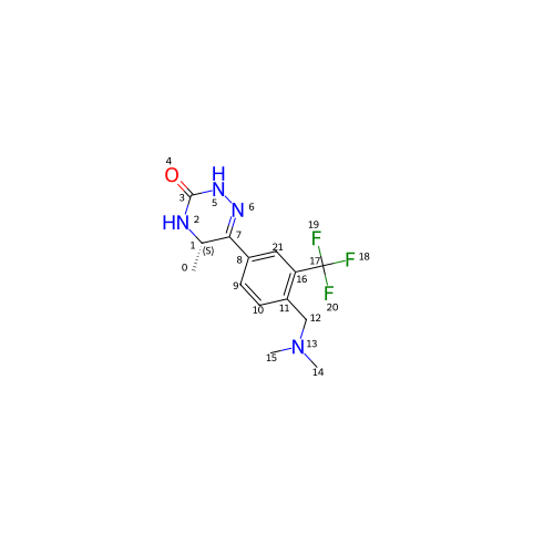 C[C@@H]1NC(=O)NN=C1c1ccc(CN(C)C)c(C(F)(F)F)c1